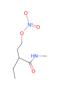 CCC(CCO[N+](=O)[O-])C(=O)NC